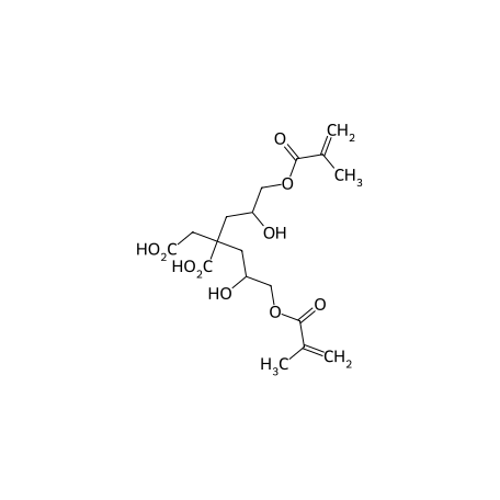 C=C(C)C(=O)OCC(O)CC(CC(=O)O)(CC(O)COC(=O)C(=C)C)C(=O)O